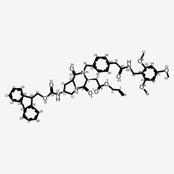 C=CCOC(=O)C[C@H]1C(=O)N2C[C@@H](NC(=O)OCC3c4ccccc4-c4ccccc43)CC2C(=O)N1Cc1ccc(CC(=O)NCc2c(OC)cc(OC)cc2OC)cc1